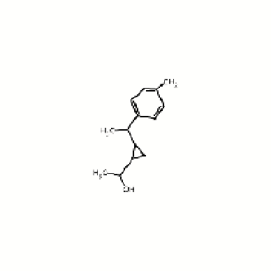 Cc1ccc(C(C)C2CC2C(C)O)cc1